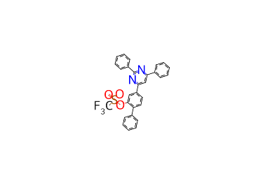 O=S(=O)(Oc1cc(-c2cc(-c3ccccc3)nc(-c3ccccc3)n2)ccc1-c1ccccc1)C(F)(F)F